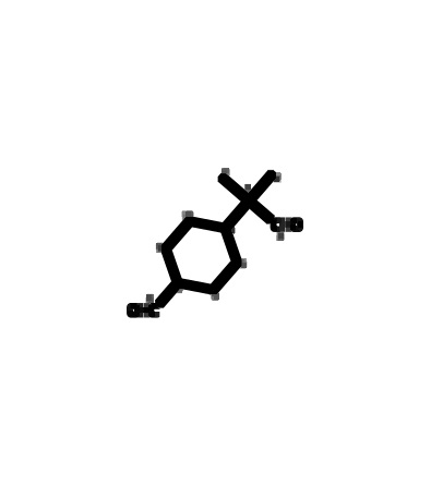 CC(C)(C=O)C1CCC(C=O)CC1